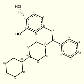 Cl.Cl.Oc1cccc(CC(c2ccccc2)N2CCN(C3CCCCC3)CC2)c1